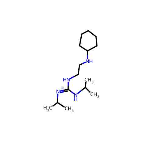 CC(C)/N=C(/NCCNC1CCCCC1)NC(C)C